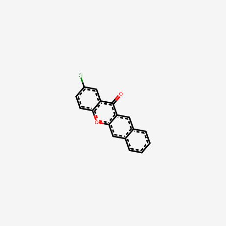 O=c1c2cc(Cl)ccc2oc2cc3ccccc3cc12